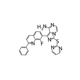 Nc1nccn2c(Sc3ncccn3)nc(-c3ccc4ccc(-c5ccccc5)nc4c3F)c12